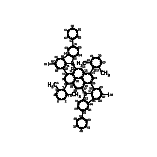 Cc1cccc(C)c1-c1cc2c3c(cc4c(-c5c(C)cccc5C)cc5c6c(cc1c3c46)B1c3ccc(-c4ccccc4)cc3-c3cc(I)cc-5c31)B1c3ccc(-c4ccccc4)cc3-c3cc(I)cc-2c31